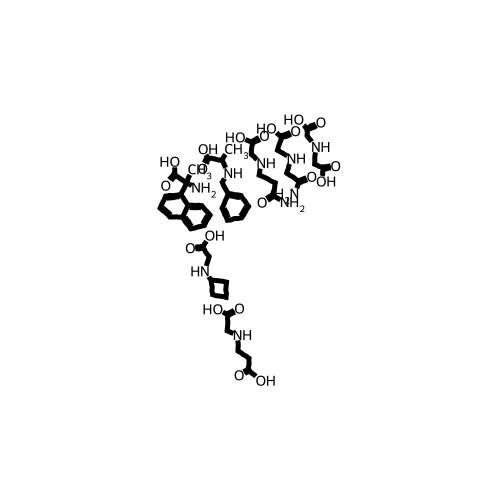 CC(N)(C(=O)O)c1cccc2ccccc12.CC(NCc1ccccc1)C(=O)O.NC(=O)CCNCC(=O)O.NC(=O)CNCC(=O)O.O=C(O)CCNCC(=O)O.O=C(O)CNC1CCC1.O=C(O)CNCC(=O)O